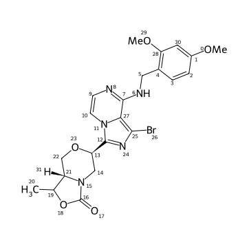 COc1ccc(CNc2nccn3c([C@H]4CN5C(=O)OC(C)[C@@H]5CO4)nc(Br)c23)c(OC)c1